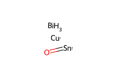 [BiH3].[Cu].[O]=[Sn]